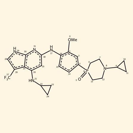 COc1cc(P2(=O)CCN(C3CC3)CC2)ccc1Nc1cc(NC2CC2)c2c(C(F)(F)F)c[nH]c2n1